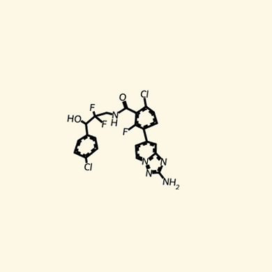 Nc1nc2cc(-c3ccc(Cl)c(C(=O)NCC(F)(F)C(O)c4ccc(Cl)cc4)c3F)ccn2n1